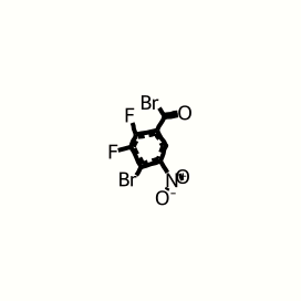 O=C(Br)c1cc([N+](=O)[O-])c(Br)c(F)c1F